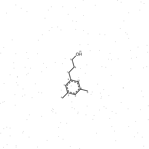 Cc1cc(C)cc(CCCO)c1